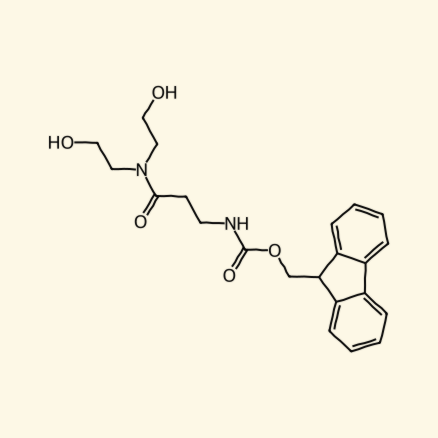 O=C(NCCC(=O)N(CCO)CCO)OCC1c2ccccc2-c2ccccc21